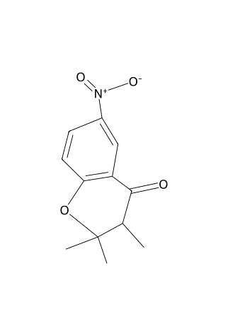 CC1C(=O)c2cc([N+](=O)[O-])ccc2OC1(C)C